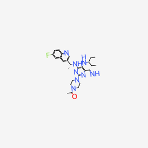 CCC(CC)Nc1c(C=N)nc(N2CCN(C(C)=O)CC2)nc1N[C@H](C)c1cnc2ccc(F)cc2c1